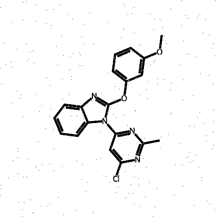 COc1cccc(Oc2nc3ccccc3n2-c2cc(Cl)nc(C)n2)c1